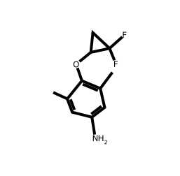 Cc1cc(N)cc(C)c1OC1CC1(F)F